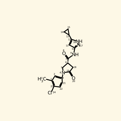 Cc1cc(N2C[C@@H](C(=O)Nc3cc(C4CC4)[nH]n3)CC2=O)ccc1Cl